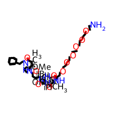 CC[C@H](C)[C@@H]([C@@H](CC(=O)N1CCC[C@H]1[C@H](OC)[C@@H](C)C(=O)NCCC1C=CC=CC=C1)OC)N(C)C(=O)[C@@H](NC(=O)C(C)(C)NC(=O)CCOCCOCCOCCOCCOCCOCCN)C(C)C